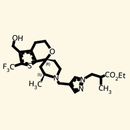 CCOC(=O)C(C)Cn1cc(CN2CC[C@]3(C[C@@H]2C)OCCc2c3sc(C(F)(F)F)c2CO)cn1